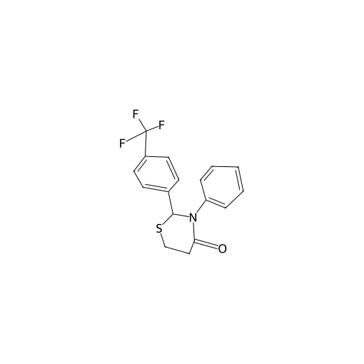 O=C1CCSC(c2ccc(C(F)(F)F)cc2)N1c1ccccc1